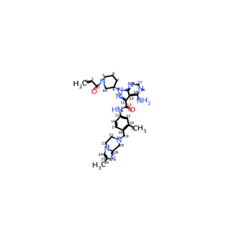 C=CC(=O)N1CCC[C@@H](n2nc(C(=O)Nc3ccc(CN4CCn5cc(C)nc5C4)c(C)c3)c3c(N)ncnc32)C1